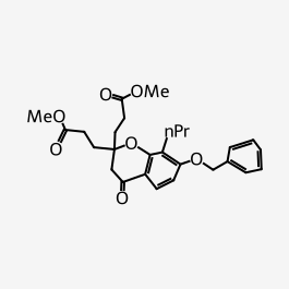 CCCc1c(OCc2ccccc2)ccc2c1OC(CCC(=O)OC)(CCC(=O)OC)CC2=O